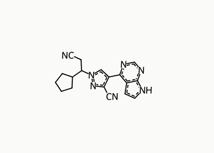 N#CCC(C1CCCC1)n1cc(-c2ncnc3[nH]ccc23)c(C#N)n1